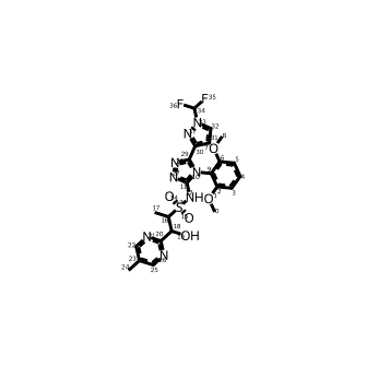 COc1cccc(OC)c1-n1c(NS(=O)(=O)C(C)C(O)c2ncc(C)cn2)nnc1-c1ccn(C(F)F)n1